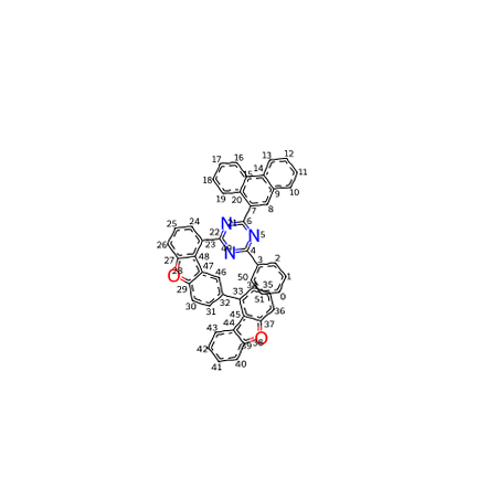 c1ccc(-c2nc(-c3cc4ccccc4c4ccccc34)nc(-c3cccc4oc5ccc(-c6cccc7oc8ccccc8c67)cc5c34)n2)cc1